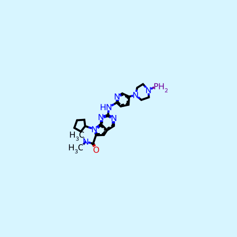 CN(C)C(=O)c1cc2cnc(Nc3ccc(N4CCN(P)CC4)cn3)nc2n1C1CCCC1